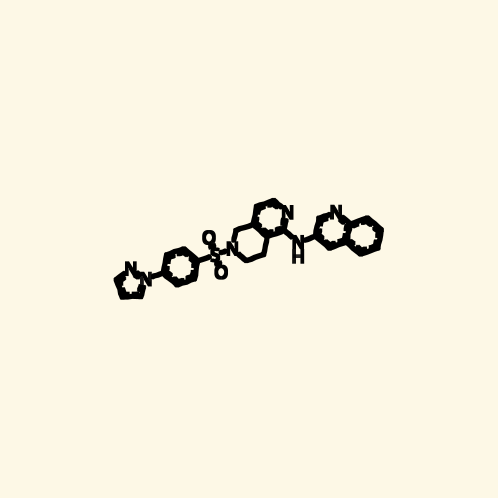 O=S(=O)(c1ccc(-n2cccn2)cc1)N1CCc2c(ccnc2Nc2cnc3ccccc3c2)C1